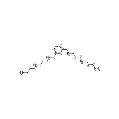 NCCCNCCCNCc1cccc(CNCCCNCCCN)c1